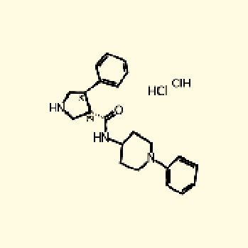 Cl.Cl.O=C(NC1CCN(c2ccccc2)CC1)[C@@H]1CNC[C@H]1c1ccccc1